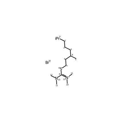 CC(C)CCCC(C)CCSC(N(C)C)=[N+](C)C.[Br-]